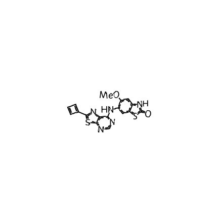 COc1cc2[nH]c(=O)sc2cc1Nc1ncnc2sc(C3=CC=C3)nc12